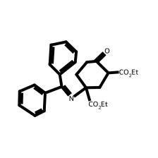 CCOC(=O)C1CC(N=C(c2ccccc2)c2ccccc2)(C(=O)OCC)CCC1=O